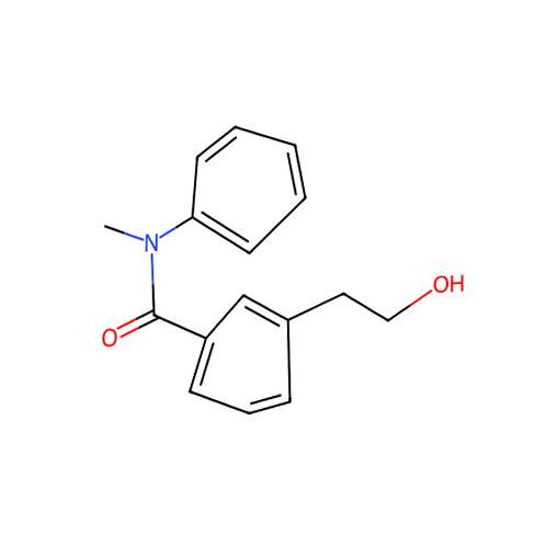 CN(C(=O)c1cccc(CCO)c1)c1ccccc1